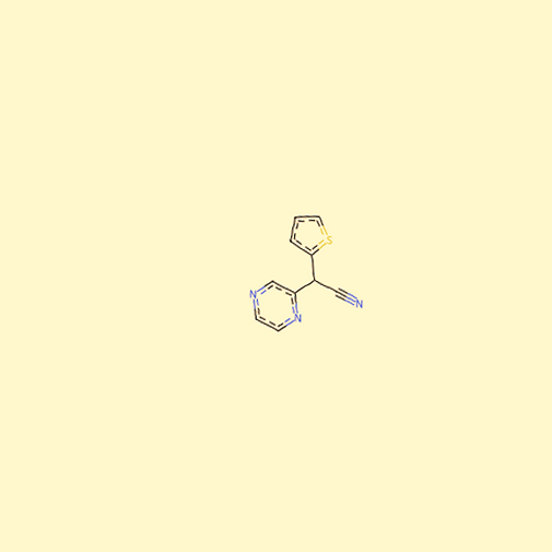 N#CC(c1cnccn1)c1cccs1